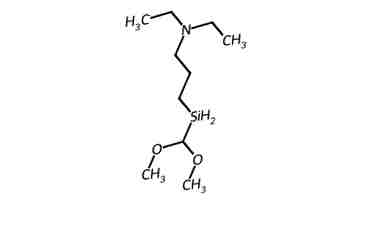 CCN(CC)CCC[SiH2]C(OC)OC